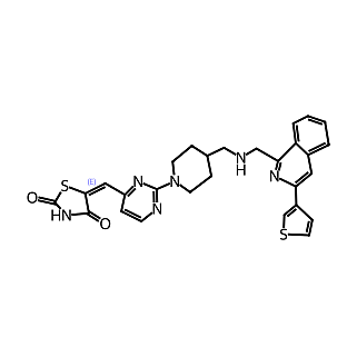 O=C1NC(=O)/C(=C\c2ccnc(N3CCC(CNCc4nc(-c5ccsc5)cc5ccccc45)CC3)n2)S1